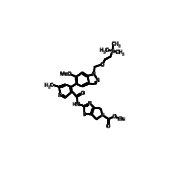 COc1cc2c(cnn2COCC[Si](C)(C)C)cc1-c1cc(C)ncc1C(=O)Nc1nc2c(s1)CN(C(=O)OC(C)(C)C)C2